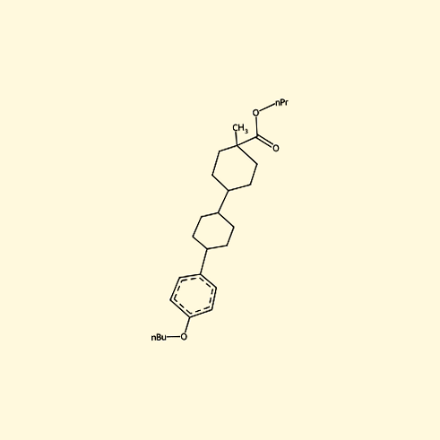 CCCCOc1ccc(C2CCC(C3CCC(C)(C(=O)OCCC)CC3)CC2)cc1